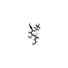 CC#CC(O[Si](C)(C)C(C)(C)C)C(C)[C@@H](OC)[C@H](C)/C(C)=C/CBr